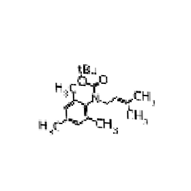 CC(C)=CCN(C(=O)OC(C)(C)C)c1c(C)cc(C)cc1C